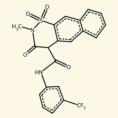 CN1C(=O)C(C(=O)Nc2cccc(C(F)(F)F)c2)c2cc3ccccc3cc2S1(=O)=O